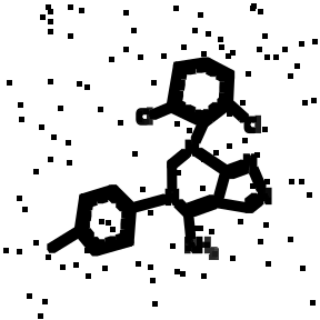 Cc1ccc(N2CN(c3c(Cl)cccc3Cl)C3=NN=CC3=C2N)cc1